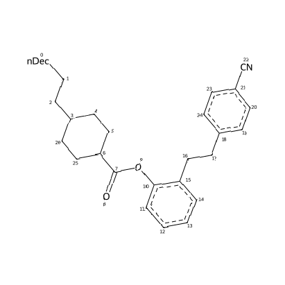 CCCCCCCCCCCCC1CCC(C(=O)Oc2ccccc2CCc2ccc(C#N)cc2)CC1